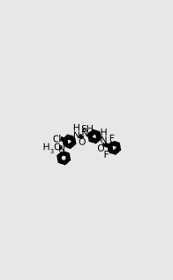 CN(c1ccc(NC(=O)N(S)c2ccc(NC(=O)c3c(F)cccc3F)cc2)cc1Cl)C1CCCCC1